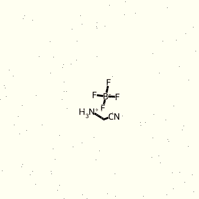 F[B-](F)(F)F.N#CC[NH3+]